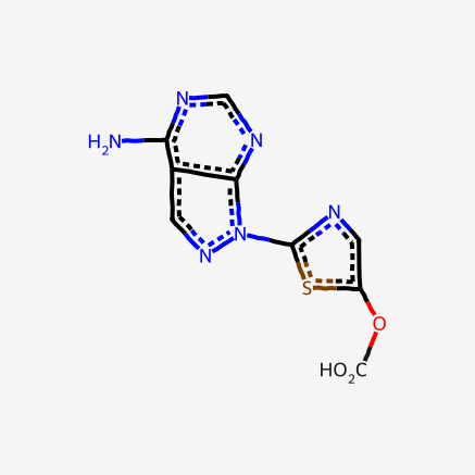 Nc1ncnc2c1cnn2-c1ncc(OC(=O)O)s1